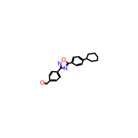 O=Cc1ccc(-c2noc(-c3ccc(C4CCCCC4)cc3)n2)cc1